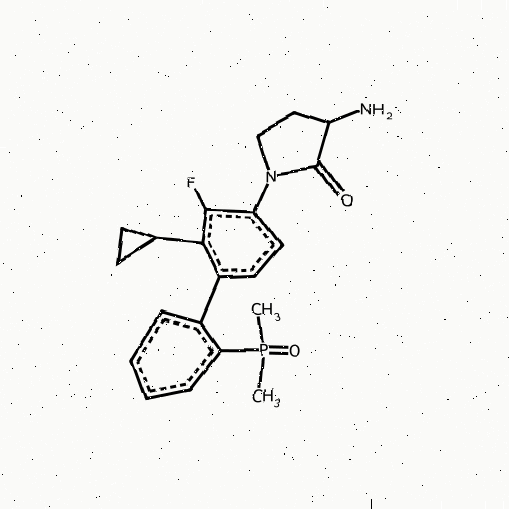 CP(C)(=O)c1ccccc1-c1ccc(N2CCC(N)C2=O)c(F)c1C1CC1